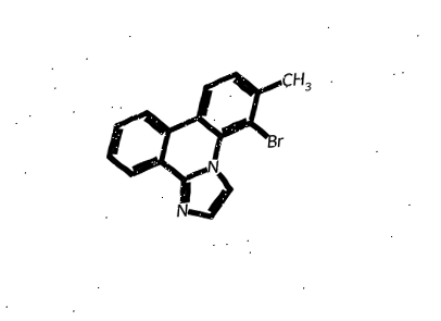 Cc1ccc2c3ccccc3c3nccn3c2c1Br